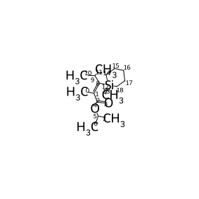 CC(C(=O)OC(C)C)=C(C(C)C)[Si]1(C)CCCCC1